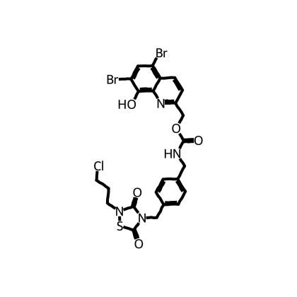 O=C(NCc1ccc(Cn2c(=O)sn(CCCCl)c2=O)cc1)OCc1ccc2c(Br)cc(Br)c(O)c2n1